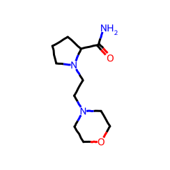 NC(=O)C1CCCN1CCN1CCOCC1